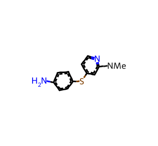 CNc1cc(Sc2ccc(N)cc2)ccn1